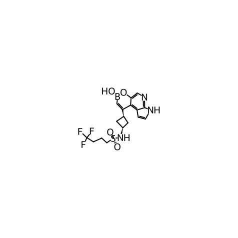 O=S(=O)(CCCC(F)(F)F)N[C@H]1C[C@@H](C2=CB(O)Oc3cnc4[nH]ccc4c32)C1